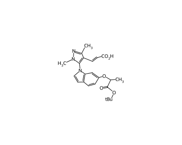 Cc1nn(C)c(-n2ccc3ccc(OC(C)C(=O)OC(C)(C)C)cc32)c1/C=C/C(=O)O